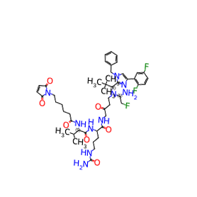 CC(C)[C@H](NC(=O)CCCCCN1C(=O)C=CC1=O)C(=O)NC(CCCNC(N)=O)C(=O)NCC(=O)CCN([C@H](N)CF)[C@@H](c1nc(-c2cc(F)ccc2F)cn1Cc1ccccc1)C(C)(C)C